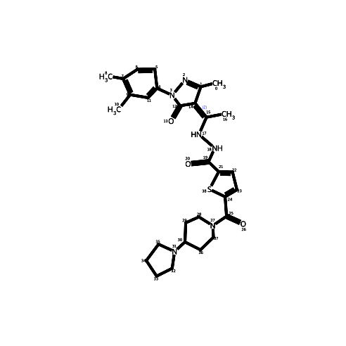 CC1=NN(c2ccc(C)c(C)c2)C(=O)/C1=C(/C)NNC(=O)c1ccc(C(=O)N2CCC(N3CCCC3)CC2)s1